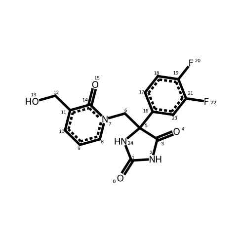 O=C1NC(=O)C(Cn2cccc(CO)c2=O)(c2ccc(F)c(F)c2)N1